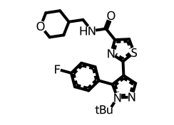 CC(C)(C)n1ncc(-c2nc(C(=O)NCC3CCOCC3)cs2)c1-c1ccc(F)cc1